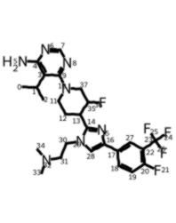 CC(C)c1c(N)ncnc1N1CCC(c2nc(-c3ccc(F)c(C(F)(F)F)c3)cn2CCN(C)C)C(F)C1